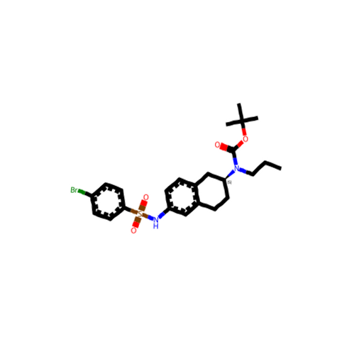 CCCN(C(=O)OC(C)(C)C)[C@H]1CCc2cc(NS(=O)(=O)c3ccc(Br)cc3)ccc2C1